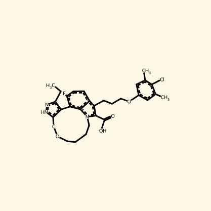 CCc1n[nH]c2c1-c1c(F)ccc3c(CCCOc4cc(C)c(Cl)c(C)c4)c(C(=O)O)n(c13)CCCCOC2